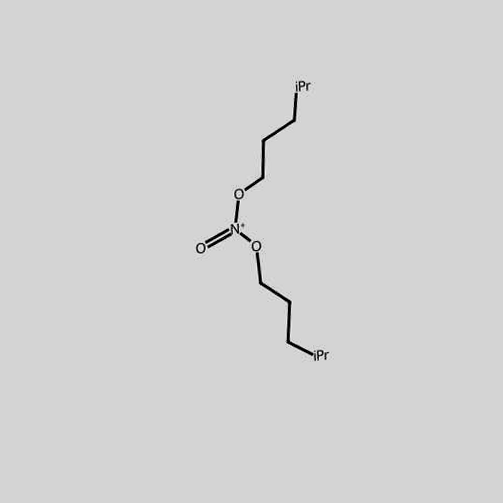 CC(C)CCCO[N+](=O)OCCCC(C)C